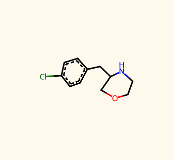 Clc1ccc(CC2COCCN2)cc1